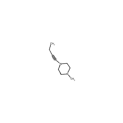 C[CH]C#CN1CCN(C)CC1